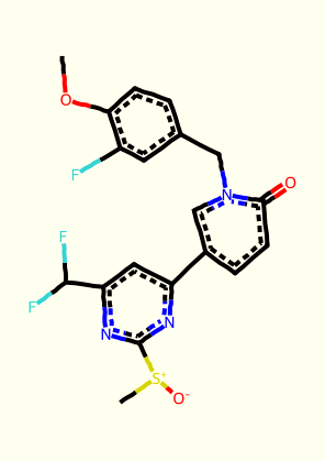 COc1ccc(Cn2cc(-c3cc(C(F)F)nc([S+](C)[O-])n3)ccc2=O)cc1F